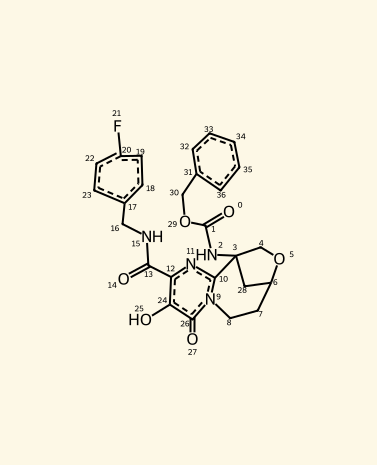 O=C(NC12COC(CCn3c1nc(C(=O)NCc1ccc(F)cc1)c(O)c3=O)C2)OCc1ccccc1